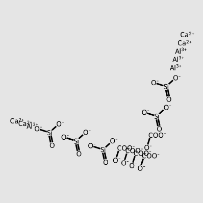 O=C([O-])[O-].O=C([O-])[O-].O=C([O-])[O-].O=C([O-])[O-].O=C([O-])[O-].O=[Si]([O-])[O-].O=[Si]([O-])[O-].O=[Si]([O-])[O-].O=[Si]([O-])[O-].O=[Si]([O-])[O-].[Al+3].[Al+3].[Al+3].[Al+3].[Ca+2].[Ca+2].[Ca+2].[Ca+2]